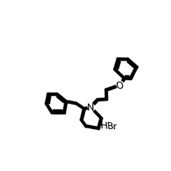 Br.c1ccc(CC2CCCCN2CCCOc2ccccc2)cc1